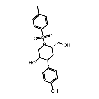 Cc1ccc(S(=O)(=O)N2C[C@H](O)[C@@H](c3ccc(O)cc3)C[C@H]2CO)cc1